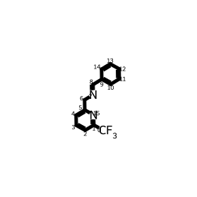 FC(F)(F)c1cccc(C/N=C/c2ccccc2)n1